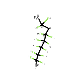 CCCC(F)(F)C(F)(F)C(F)(F)C(F)(F)C(F)(F)CC(F)(F)C(F)(F)F